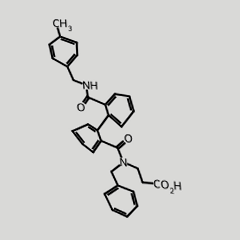 Cc1ccc(CNC(=O)c2ccccc2-c2ccccc2C(=O)N(CCC(=O)O)Cc2ccccc2)cc1